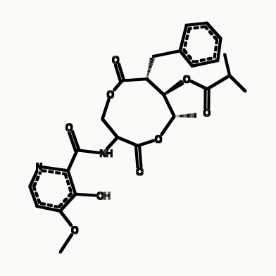 COc1ccnc(C(=O)NC2COC(=O)[C@H](Cc3ccccc3)[C@@H](OC(=O)C(C)C)[C@H](C)OC2=O)c1O